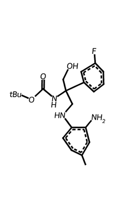 Cc1ccc(NCC(CO)(NC(=O)OC(C)(C)C)c2cccc(F)c2)c(N)c1